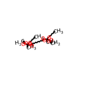 C=CC(=O)OCC(CC)(COCCCCCC)COC(=O)CCCCCCCCC(=O)OCC(CC)(COCCCCCC)COC(=O)C=C